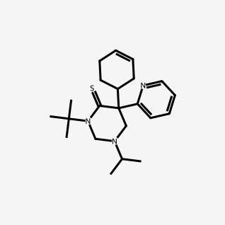 CC(C)N1CN(C(C)(C)C)C(=S)C(c2ccccn2)(C2CC=CCC2)C1